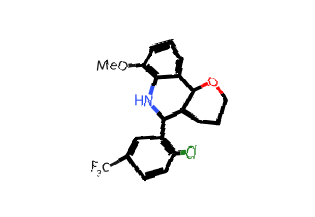 COc1cccc2c1NC(c1cc(C(F)(F)F)ccc1Cl)C1CCCOC21